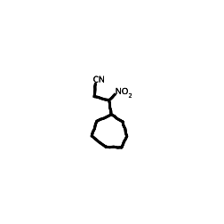 N#CCC(C1CCCCCC1)[N+](=O)[O-]